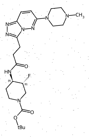 CN1CCN(c2ccc3nnc(CCC(=O)N[C@@H]4CCN(C(=O)OC(C)(C)C)C[C@H]4F)n3n2)CC1